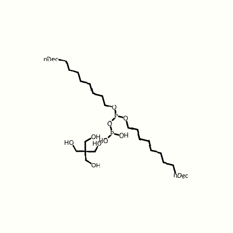 CCCCCCCCCCCCCCCCCCOP(OCCCCCCCCCCCCCCCCCC)OP(O)O.OCC(CO)(CO)CO